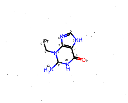 CC(C)CN1c2nc[nH]c2C(=O)NC1N